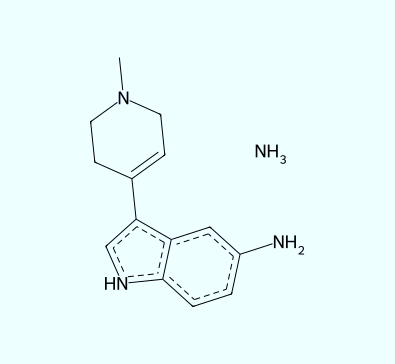 CN1CC=C(c2c[nH]c3ccc(N)cc23)CC1.N